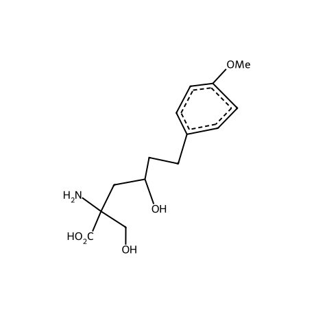 COc1ccc(CCC(O)CC(N)(CO)C(=O)O)cc1